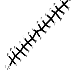 CCCC(F)(F)C(F)(F)C(F)(F)C(F)(F)C(F)(F)C(F)(F)C(F)(F)C(F)(F)C(F)(F)C(F)(F)C(F)(F)C(F)(F)C(F)(F)C(F)(F)F